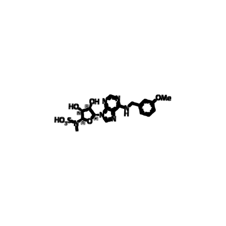 COc1cccc(CNc2ncnc3c2ncn3[C@@H]2O[C@@H](N(C)S(=O)(=O)O)[C@@H](O)[C@H]2O)c1